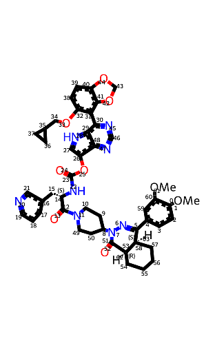 COc1ccc(C2=NN(C3CCN(C(=O)[C@H](Cc4cccnc4)NC(=O)Oc4c[nH]c5c(-c6c(OCC7CC7)ccc7c6OCO7)ncnc45)CC3)C(=O)[C@@H]3CCCC[C@H]23)cc1OC